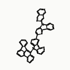 c1ccc2c(c1)-c1cccc3c1c-2c(-n1c2ccccc2c2cc(-c4ccc5c(c4)c4ccccc4n5-c4ccc5ccccc5c4)ccc21)c1ccccc13